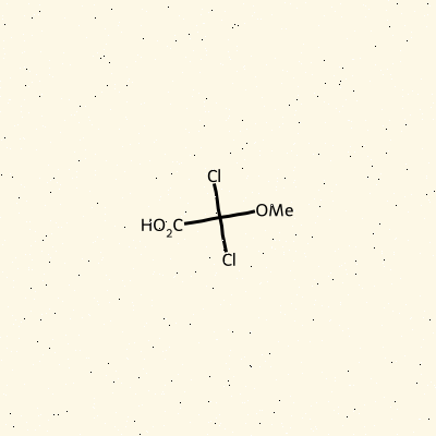 COC(Cl)(Cl)C(=O)O